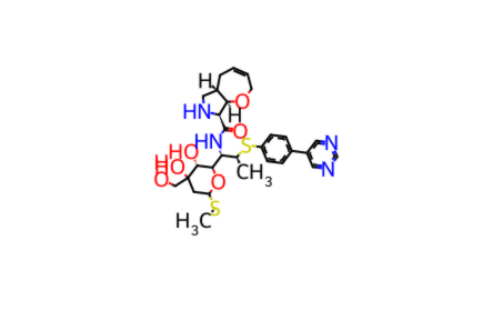 CSC1CC(O)(CO)[C@H](O)[C@@H]([C@H](NC(=O)[C@H]2NC[C@@H]3CC=CCO[C@H]32)[C@H](C)Sc2ccc(-c3cncnc3)cc2)O1